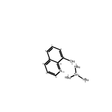 CCC[CH2][Sn]([CH2]CCC)[CH2]CCC.Oc1cccc2cccnc12